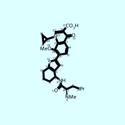 CN[C@H](CC(C)C)C(=O)NC1CCCc2sc(-c3ccc4c(=O)c(C(=O)O)cn(C5CC5)c4c3OC)cc21